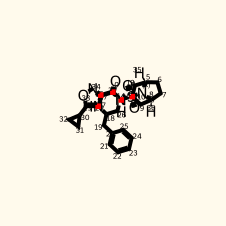 O=C(N[C@H]1C[C@H]2CC[C@@H](C1)N2S(=O)(=O)N1CCNC(Cc2ccccc2)C1)c1cc(C2CC2)on1